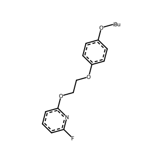 CCC(C)Oc1ccc(OCCOc2cccc(F)n2)cc1